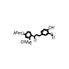 CCOc1cc(/C=C/C(=O)c2ccc(OC)cc2OC)ccc1O